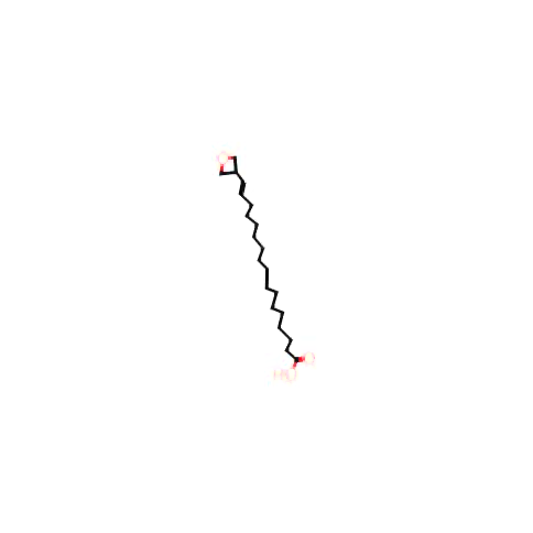 O=C(O)CCCCCCCCCCCCCCC=CC1COC1